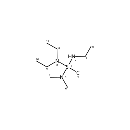 CCN[Si](Cl)(N(C)C)N(CC)CC